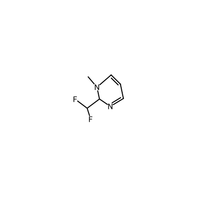 CN1C=CC=NC1C(F)F